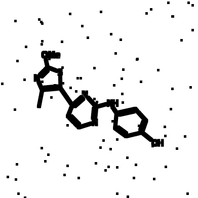 COc1nc(C)c(-c2ccnc(Nc3ccc(O)cc3)n2)s1